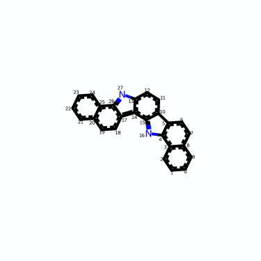 c1ccc2c3c(ccc2c1)-c1ccc2c(c1=N3)=c1ccc3ccccc3c1=N2